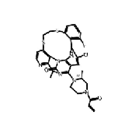 C=CC(=O)N1CCN(c2nc(=O)n3c4nc(c(Cl)cc24)-c2c(F)cccc2SCCSc2ccnc(C(C)C)c2-3)[C@@H](C)C1